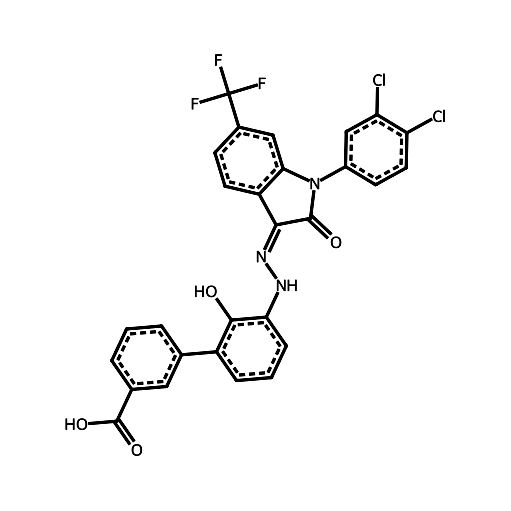 O=C(O)c1cccc(-c2cccc(NN=C3C(=O)N(c4ccc(Cl)c(Cl)c4)c4cc(C(F)(F)F)ccc43)c2O)c1